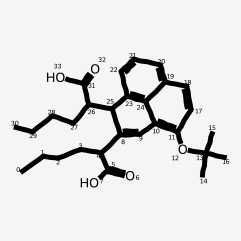 CCCCC(C(=O)O)C1=Cc2c(OC(C)(C)C)ccc3cccc(c23)C1C(CCCC)C(=O)O